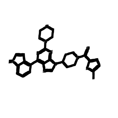 Cc1ccc(C(=O)N2CCC(n3cnc4c(-c5cccc6[nH]ccc56)nc(N5CCOCC5)nc43)CC2)s1